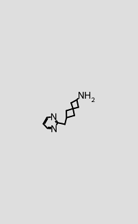 NC1CC2(C1)CC(Cc1ncccn1)C2